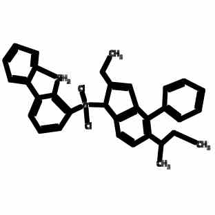 CCC1=Cc2c(ccc(C(C)CC)c2-c2ccccc2)[CH]1[Zr]([Cl])([Cl])[c]1cccc2c1[SiH2]c1ccccc1-2